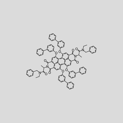 CCN(Cc1ccccc1)C(=O)C(C)N1C(=O)c2cc(Oc3cccc(-c4ccccc4)c3)c3c4c(Oc5cccc(-c6ccccc6)c5)cc5c6c(cc(Oc7cccc(-c8ccccc8)c7)c(c7c(Oc8cccc(-c9ccccc9)c8)cc(c2c37)C1=O)c64)C(=O)N(C(C)C(=O)N(CC)Cc1ccccc1)C5=O